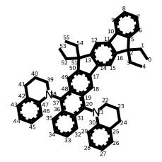 CCC1(CC)c2ccccc2-c2cc3c(cc21)-c1cc2c(N4CCCc5ccccc54)c4ccccc4c(N4CCCc5ccccc54)c2cc1C3(CC)CC